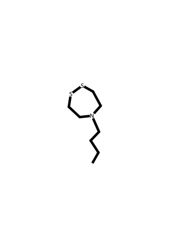 CCCCN1CCSSCC1